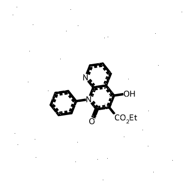 CCOC(=O)c1c(O)c2cccnc2n(-c2ccccc2)c1=O